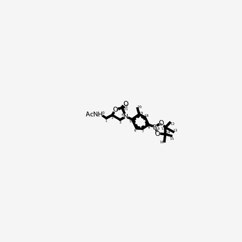 CC(=O)NCC1CN(c2ccc(B3OC(C)(C)C(C)(C)O3)cc2C)C(=O)O1